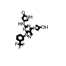 O=C1C[C@H](Nc2nc(N3CC(O)C3)c3cnn(-c4cccc(C(F)(F)F)c4)c3n2)CN1